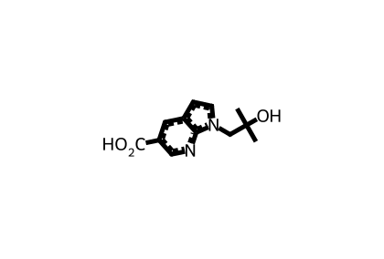 CC(C)(O)Cn1ccc2cc(C(=O)O)cnc21